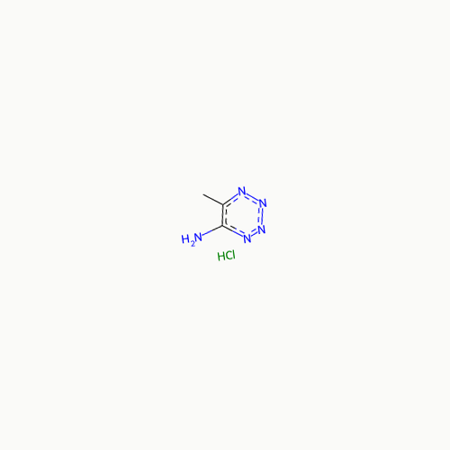 Cc1nnnnc1N.Cl